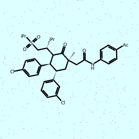 CC(=O)c1ccc(NC(=O)C[C@@]2(C)C[C@H](c3cccc(Cl)c3)[C@@H](c3ccc(Cl)cc3)C([C@H](CS(=O)(=O)C(C)C)C(C)C)C2=O)cc1